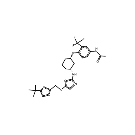 CC(=O)Nc1ccc(O[C@@H]2CCC[C@@H](Nc3ncc(SCc4ncc(C(C)(C)C)o4)s3)C2)c(C(F)(F)F)c1